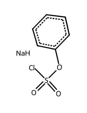 O=S(=O)(Cl)Oc1ccccc1.[NaH]